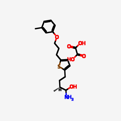 Cc1cccc(OCCCc2ccc(CC[C@@H](C)C(N)O)s2)c1.O=C(O)C(=O)O